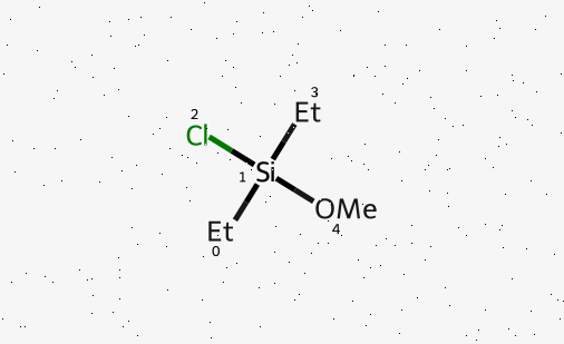 CC[Si](Cl)(CC)OC